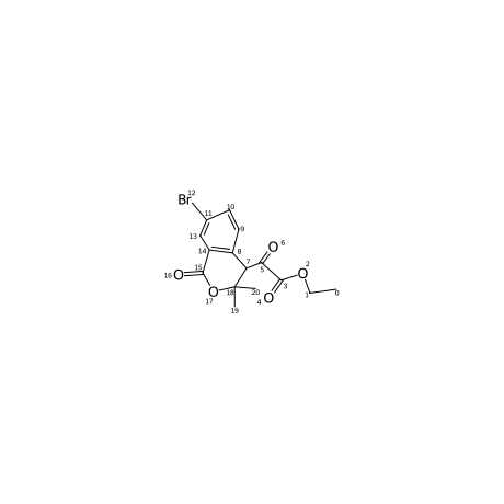 CCOC(=O)C(=O)C1c2ccc(Br)cc2C(=O)OC1(C)C